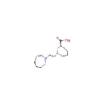 O=C(O)C1CCCN(CCN2CCCCCC2)C1